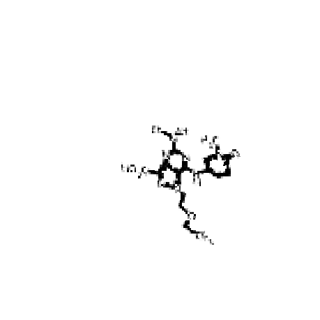 CCN(CC)c1nc(Nc2ccc(=O)n(C)c2)c2c(n1)c(C(=O)O)nn2CCOCC(F)(F)F